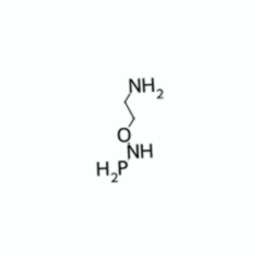 NCCONP